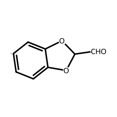 O=CC1Oc2c[c]ccc2O1